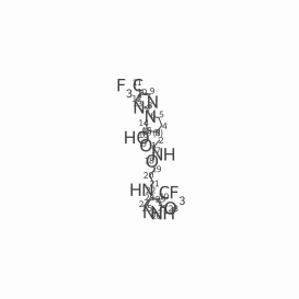 O=C(C[C@H]1CCN(c2ncc(C(F)(F)F)cn2)C[C@H]1O)NOCCCNc1cn[nH]c(=O)c1C(F)(F)F